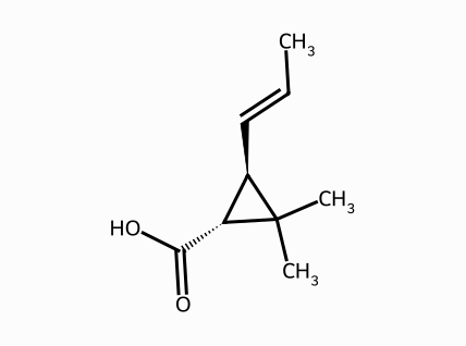 CC=C[C@@H]1[C@@H](C(=O)O)C1(C)C